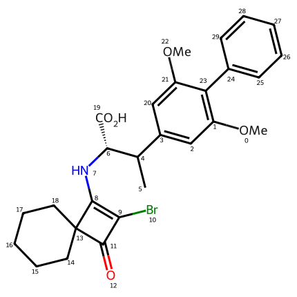 COc1cc(C(C)[C@H](NC2=C(Br)C(=O)C23CCCCC3)C(=O)O)cc(OC)c1-c1ccccc1